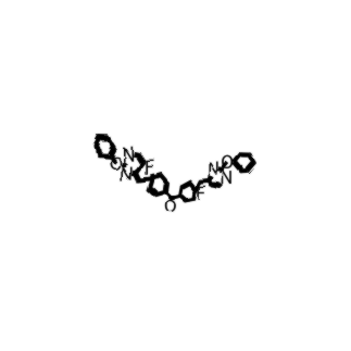 O=C(C1=CCC(F)(Cc2ccnc(Oc3ccccc3)n2)C=C1)C1=CCC(F)(Cc2ccnc(Oc3ccccc3)n2)C=C1